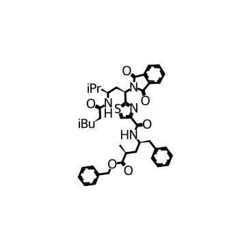 CC[C@H](C)CC(=O)N[C@H](C[C@H](c1nc(C(=O)N[C@@H](Cc2ccccc2)C[C@H](C)C(=O)OCc2ccccc2)cs1)N1C(=O)c2ccccc2C1=O)C(C)C